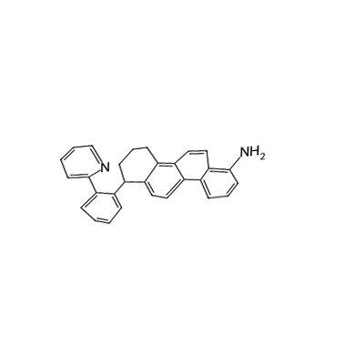 Nc1cccc2c1ccc1c3c(ccc12)C(c1ccccc1-c1ccccn1)CCC3